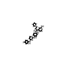 O=S(=O)(c1ccc(Nc2nccc(Nc3ccc(F)cc3)n2)cc1)N(CCN1CCCC1)C1CCOC(S)C1